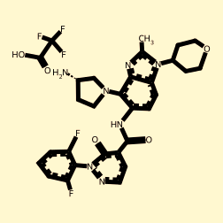 Cc1nc2c(N3CC[C@H](N)C3)c(NC(=O)c3ccnn(-c4c(F)cccc4F)c3=O)ccc2n1C1CCOCC1.O=C(O)C(F)(F)F